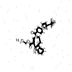 CCOC(=O)C1=CN(C(=O)c2ccc(-n3ccc(C(F)(F)F)n3)cc2)CCc2c1[nH]c1ccccc21